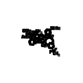 CC[C@]12C=CCN3CC[C@@]4(c5cc([C@@]6(C(=O)OC)C[C@@H]7C[C@@H](C(C)(F)F)C[N@](CCc8c6[nH]c6ccc(NC(C)=O)cc86)C7)c(OC)cc5N(C)[C@H]4[C@@](O)(C(=O)OC)[C@@H]1OC(C)=O)[C@@H]32